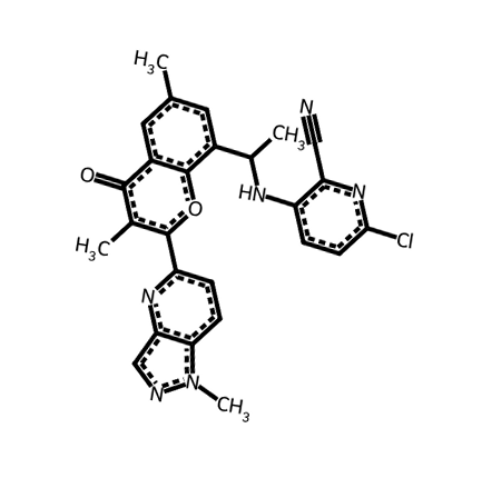 Cc1cc(C(C)Nc2ccc(Cl)nc2C#N)c2oc(-c3ccc4c(cnn4C)n3)c(C)c(=O)c2c1